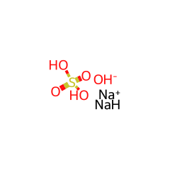 O=S(=O)(O)O.[Na+].[NaH].[OH-]